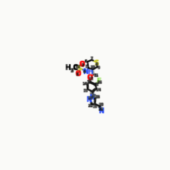 CS(=O)(=O)N[C@H]1CCSC[C@@H]1COc1ccc(-n2cc(C#N)cn2)cc1F